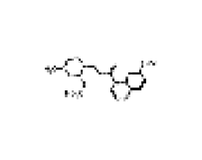 COc1ccc2nccc(C(=O)CC[C@@H]3CCN(C)C[C@@H]3CC(=O)O)c2c1